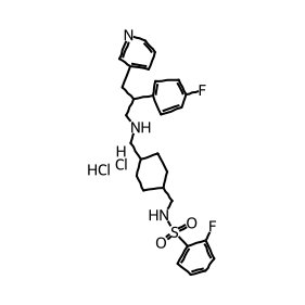 Cl.Cl.O=S(=O)(NCC1CCC(CNCC(Cc2cccnc2)c2ccc(F)cc2)CC1)c1ccccc1F